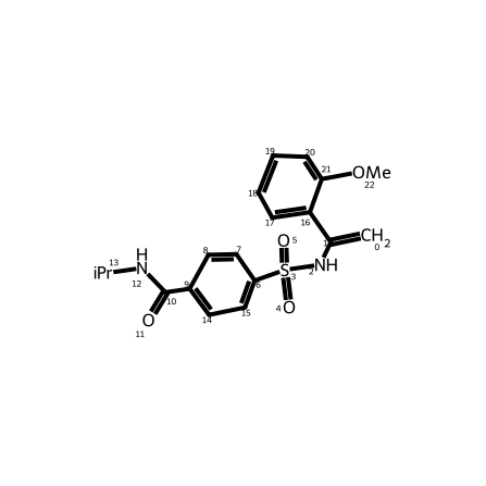 C=C(NS(=O)(=O)c1ccc(C(=O)NC(C)C)cc1)c1ccccc1OC